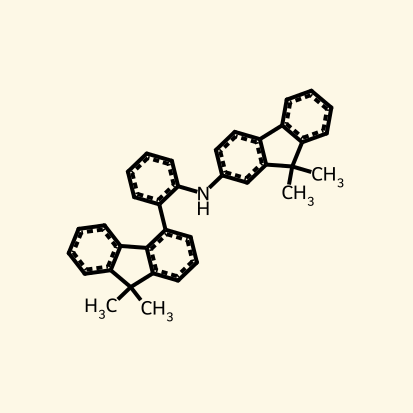 CC1(C)c2ccccc2-c2ccc(Nc3ccccc3-c3cccc4c3-c3ccccc3C4(C)C)cc21